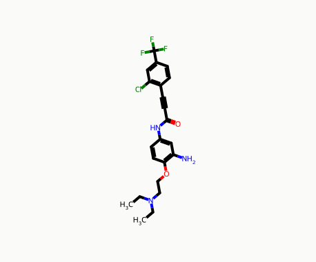 CCN(CC)CCOc1ccc(NC(=O)C#Cc2ccc(C(F)(F)F)cc2Cl)cc1N